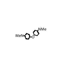 CNC1=CCC(Oc2ccc(NC)cc2)C=C1